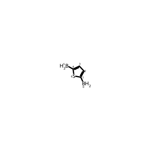 Bc1ccc(B)s1